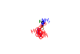 Nc1nc(=O)n([C@H]2CS[C@@H](COP(=O)(O)OP(=O)(O)OP(=O)(O)O)O2)cc1F